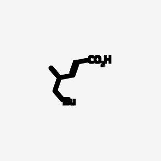 CCC(C)CC(C)C=CC(=O)O